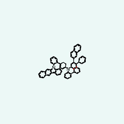 C1=C(c2ccccc2-n2c3ccccc3c3cc4ccccc4cc32)CCC(N(c2ccc(-c3ccccc3)c(-c3ccc4ccccc4c3)c2)c2ccccc2-c2ccccc2)=C1